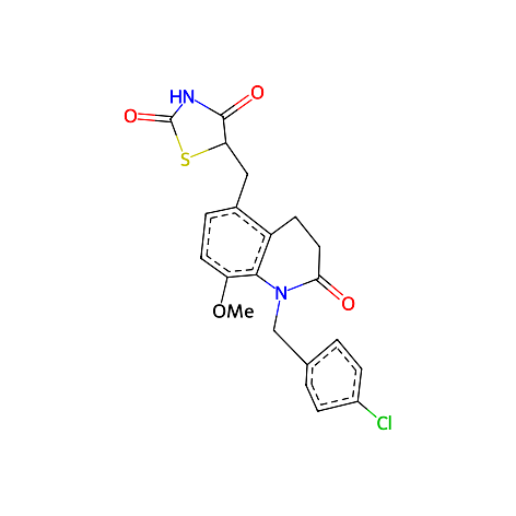 COc1ccc(CC2SC(=O)NC2=O)c2c1N(Cc1ccc(Cl)cc1)C(=O)CC2